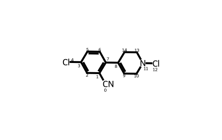 N#Cc1cc(Cl)ccc1C1=CCN(Cl)CC1